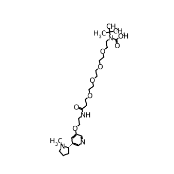 CN1CCC[C@H]1c1cncc(OCCNC(=O)CCOCCOCCOCCOCCN(C(=O)O)C(C)(C)C)c1